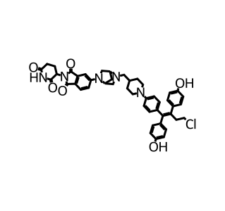 O=C1CCC(N2C(=O)c3ccc(N4CC5CC4CN5CC4CCN(c5ccc(C(=C(CCCl)c6ccc(O)cc6)c6ccc(O)cc6)cc5)CC4)cc3C2=O)C(=O)N1